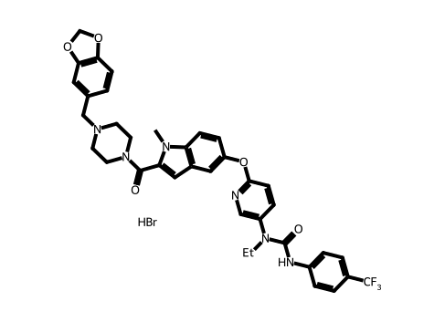 Br.CCN(C(=O)Nc1ccc(C(F)(F)F)cc1)c1ccc(Oc2ccc3c(c2)cc(C(=O)N2CCN(Cc4ccc5c(c4)OCO5)CC2)n3C)nc1